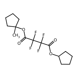 CC1(OC(=O)C(F)(F)C(F)(F)C(=O)OC2CCCC2)CCCC1